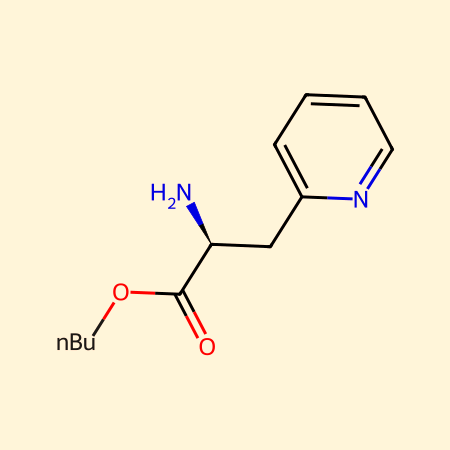 CCCCOC(=O)[C@@H](N)Cc1ccccn1